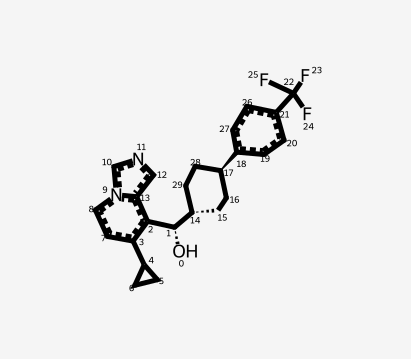 O[C@H](c1c(C2CC2)ccn2cncc12)[C@H]1CC[C@H](c2ccc(C(F)(F)F)cc2)CC1